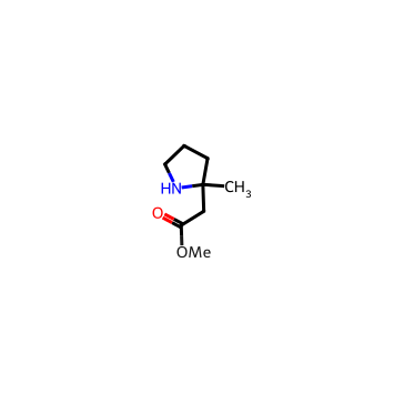 COC(=O)CC1(C)CCCN1